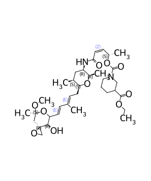 CCOC(=O)C1CCCN(C(=O)O[C@@H](C)/C=C\C(=O)N[C@@H]2C[C@H](C)[C@H](C/C=C(C)/C=C/C3O[C@](C)(OC)C[C@@]4(CO4)[C@@H]3O)O[C@@H]2C)C1